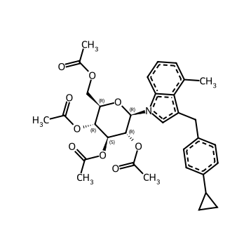 CC(=O)OC[C@H]1O[C@@H](n2cc(Cc3ccc(C4CC4)cc3)c3c(C)cccc32)[C@H](OC(C)=O)[C@@H](OC(C)=O)[C@@H]1OC(C)=O